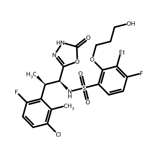 CCc1c(F)ccc(S(=O)(=O)N[C@H](c2n[nH]c(=O)o2)[C@H](C)c2c(F)ccc(Cl)c2C)c1OCCCO